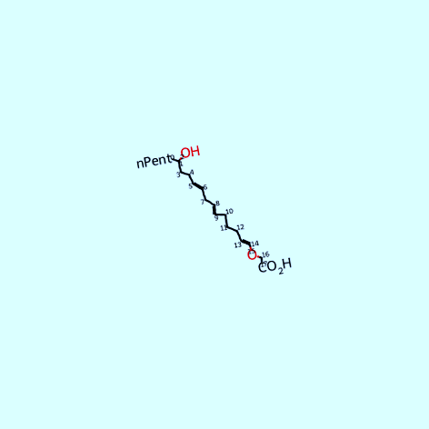 CCCCCC(O)CCC=CCC=CCCCC=COCC(=O)O